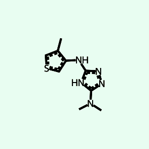 Cc1cscc1Nc1nnc(N(C)C)[nH]1